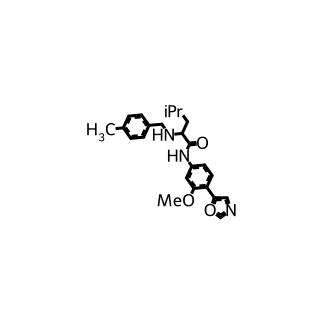 COc1cc(NC(=O)C(CC(C)C)NCc2ccc(C)cc2)ccc1-c1cnco1